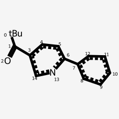 CC(C)(C)C(=O)c1ccc(-c2ccccc2)nc1